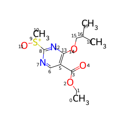 CCOC(=O)c1cnc([S+](C)[O-])nc1OCC(C)C